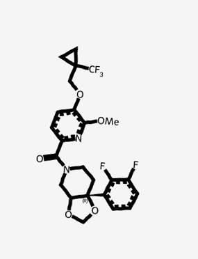 COc1nc(C(=O)N2CC[C@]3(c4cccc(F)c4F)OCOC3C2)ccc1OCC1(C(F)(F)F)CC1